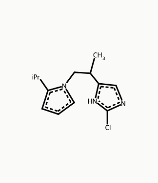 CC(C)c1cccn1CC(C)c1cnc(Cl)[nH]1